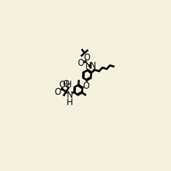 CCCCCc1nn(C(=O)OC(C)(C)C)c2ccc(Oc3c(C)cc(NC(C)(C=O)C(=O)O)cc3C)cc12